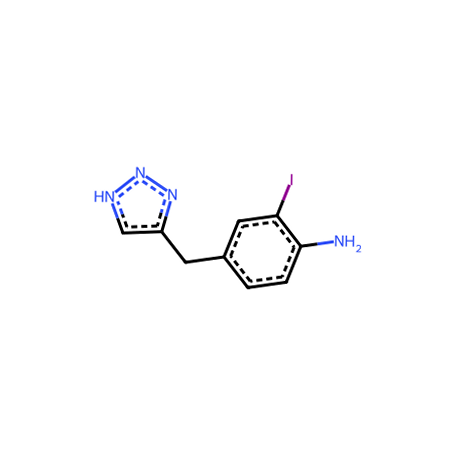 Nc1ccc(Cc2c[nH]nn2)cc1I